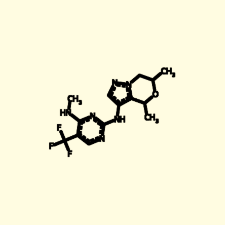 CNc1nc(Nc2cnn3c2C(C)OC(C)C3)ncc1C(F)(F)F